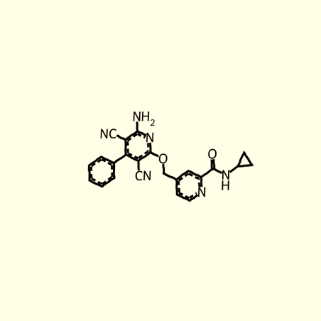 N#Cc1c(N)nc(OCc2ccnc(C(=O)NC3CC3)c2)c(C#N)c1-c1ccccc1